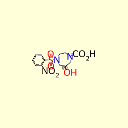 O=C(O)N1CCN(S(=O)(=O)c2ccccc2[N+](=O)[O-])C[C@H](O)C1